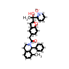 Cc1cccc2c1C(c1ccccc1)N(C(=O)Cc1ccc3oc(C(C)(O)c4cccc[n+]4[O-])cc3c1)CC2